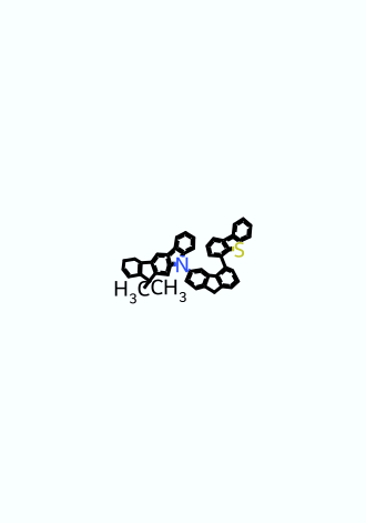 CC1(C)C2=C(CCC=C2)c2cc3c4ccccc4n(-c4ccc5c(c4)-c4c(cccc4-c4cccc6c4sc4ccccc46)C5)c3cc21